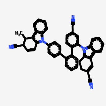 CC1c2c(n(-c3ccc(-c4ccccc4-c4ccc(C#N)cc4-n4c5c(c6ccccc64)C=C(C#N)CC5)cc3)c3ccccc23)C=CC1C#N